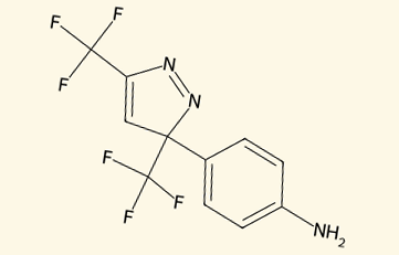 Nc1ccc(C2(C(F)(F)F)C=C(C(F)(F)F)N=N2)cc1